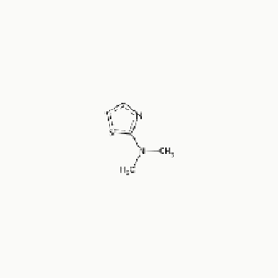 CN(C)c1nc[c]s1